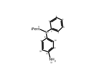 CCCC(C)N(c1ccccc1)c1ccc(N)cc1